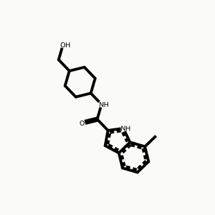 Cc1cccc2cc(C(=O)NC3CCC(CO)CC3)[nH]c12